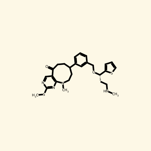 CNCC[C@H](OCc1cccc(C2CCC(=O)c3cnc(SC)nc3N(C)CC2)c1)c1cccs1